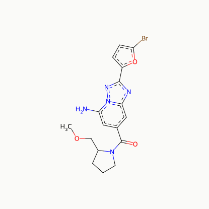 COCC1CCCN1C(=O)c1cc(N)n2nc(-c3ccc(Br)o3)nc2c1